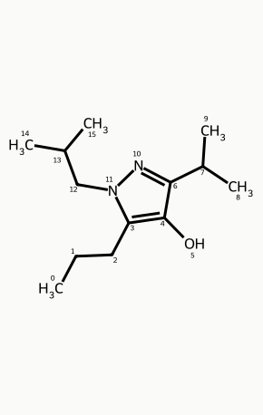 CCCc1c(O)c(C(C)C)nn1CC(C)C